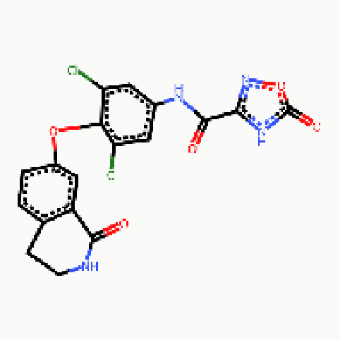 O=C(Nc1cc(Cl)c(Oc2ccc3c(c2)C(=O)NCC3)c(Cl)c1)c1noc(=O)[nH]1